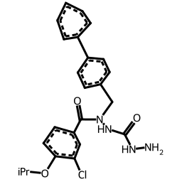 CC(C)Oc1ccc(C(=O)N(Cc2ccc(-c3ccccc3)cc2)NC(=O)NN)cc1Cl